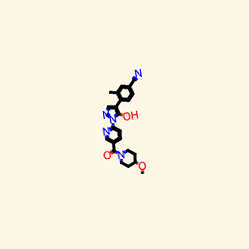 COC1CCN(C(=O)c2ccc(-n3ncc(-c4ccc(C#N)cc4C)c3O)nc2)CC1